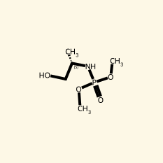 COP(=O)(N[C@@H](C)CO)OC